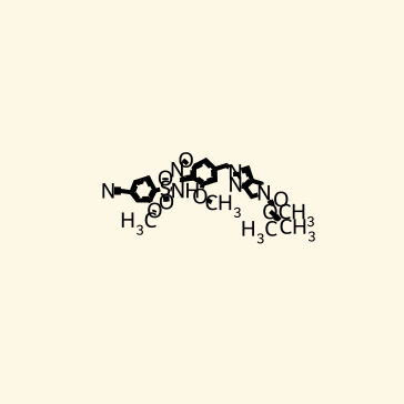 COc1cc(C#N)ccc1S(=O)(=O)Nc1noc2cc(Cn3cc4c(n3)CN(C(=O)OC(C)(C)C)C4)cc(OC)c12